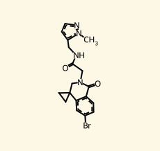 Cn1nccc1CNC(=O)CN1CC2(CC2)c2cc(Br)ccc2C1=O